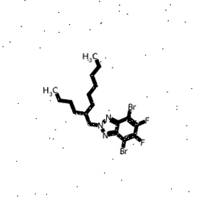 CCCCCCC(CCCC)Cn1nc2c(Br)c(F)c(F)c(Br)c2n1